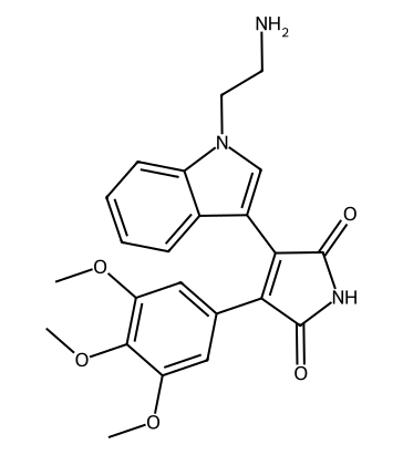 COc1cc(C2=C(c3cn(CCN)c4ccccc34)C(=O)NC2=O)cc(OC)c1OC